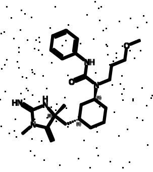 C=C1N(C)C(=N)N[C@]1(C)C[C@H]1CCC[C@H](N(CCCOC)C(=O)Nc2ccccc2)C1